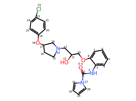 O=C(Nc1ccccc1OCC(O)CN1CCC(Oc2ccc(Cl)cc2)C1)n1cccc1